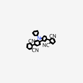 N#Cc1cccc(C#N)c1-c1ccc2c(c1)c1ccc(-c3c(C#N)cccc3C#N)cc1n2-c1ccccc1